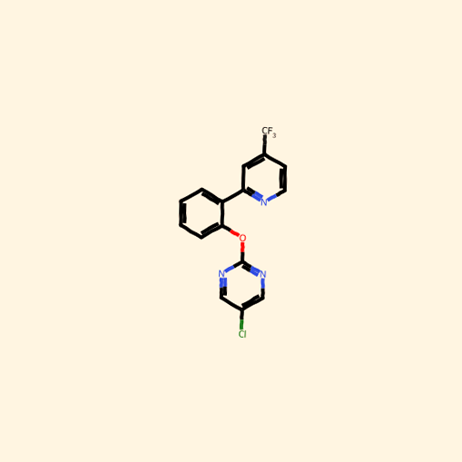 FC(F)(F)c1ccnc(-c2ccccc2Oc2ncc(Cl)cn2)c1